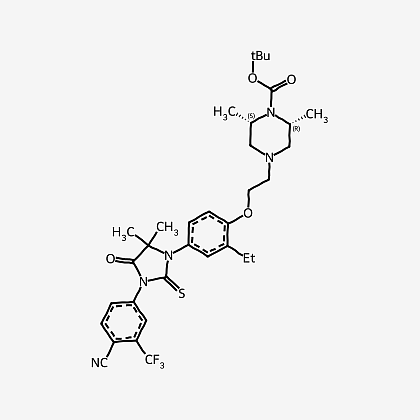 CCc1cc(N2C(=S)N(c3ccc(C#N)c(C(F)(F)F)c3)C(=O)C2(C)C)ccc1OCCN1C[C@@H](C)N(C(=O)OC(C)(C)C)[C@@H](C)C1